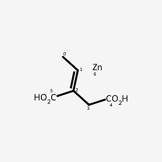 CC=C(CC(=O)O)C(=O)O.[Zn]